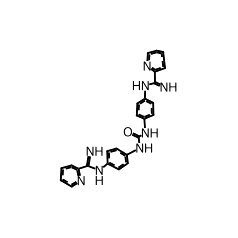 N=C(Nc1ccc(NC(=O)Nc2ccc(NC(=N)c3ccccn3)cc2)cc1)c1ccccn1